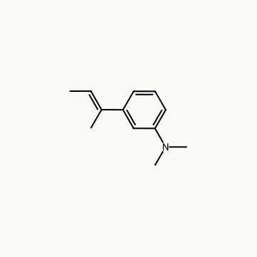 C/C=C(\C)c1cccc(N(C)C)c1